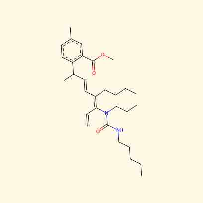 C=C/C(=C(\C=CC(C)c1ccc(C)cc1C(=O)OC)CCCC)N(CCC)C(=O)NCCCCC